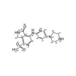 CS(=O)(=O)c1ncc(Nc2ccc(N3CCNCC3)cn2)c2c1CNC2=O